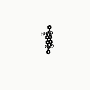 O=C1c2ccc3c4ccc5c6c(ccc(c7ccc(c2c37)C(=O)N1CCc1ccccc1)c64)C(O)N(CCc1ccccc1)C5=O